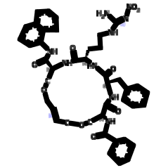 N/C(=N\[N+](=O)[O-])NCCC[C@@H]1NC(=O)[C@@H](Cc2ccccc2)NC(=O)[C@@H](NC(=O)c2ccccc2)COC/C=C/COC[C@@H](C(=O)Nc2cccc3ccccc23)NC1=O